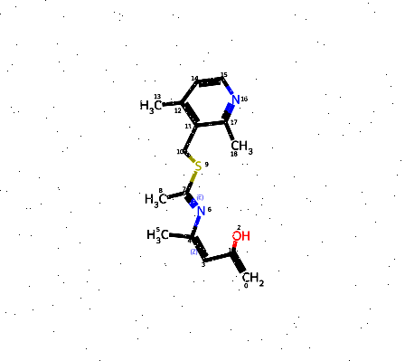 C=C(O)/C=C(C)\N=C(/C)SCc1c(C)ccnc1C